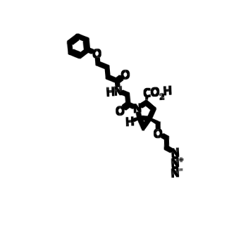 [N-]=[N+]=NCCOC[C@@]12C[C@@H]1N(C(=O)CNC(=O)CCCOc1ccccc1)[C@H](C(=O)O)C2